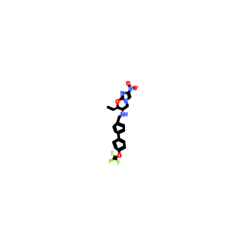 CC[C@H]1Oc2nc([N+](=O)[O-])cn2C[C@@H]1NCc1ccc(-c2ccc(OC(F)(F)F)cc2)cc1